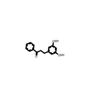 COc1cc(CCC(=O)c2ccccc2)cc(OC)c1